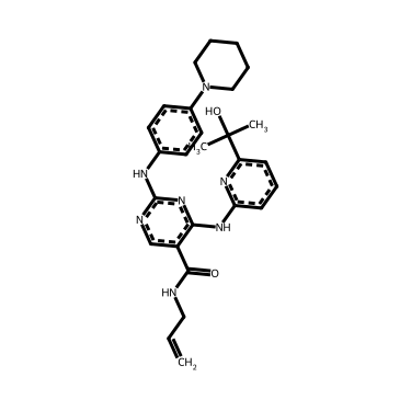 C=CCNC(=O)c1cnc(Nc2ccc(N3CCCCC3)cc2)nc1Nc1cccc(C(C)(C)O)n1